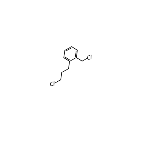 ClCCCc1ccccc1CCl